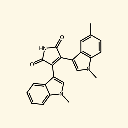 Cc1ccc2c(c1)c(C1=C(c3cn(C)c4ccccc34)C(=O)NC1=O)cn2C